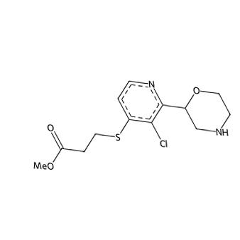 COC(=O)CCSc1ccnc(C2CNCCO2)c1Cl